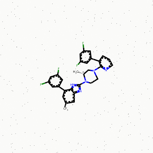 C[C@@H]1CN(c2ncccc2-c2cc(F)cc(F)c2)CCN1c1nc2cc(C(F)(F)F)cc(-c3cc(F)cc(F)c3)c2[nH]1